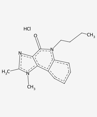 CCCCn1c(=O)c2nc(C)n(C)c2c2ccccc21.Cl